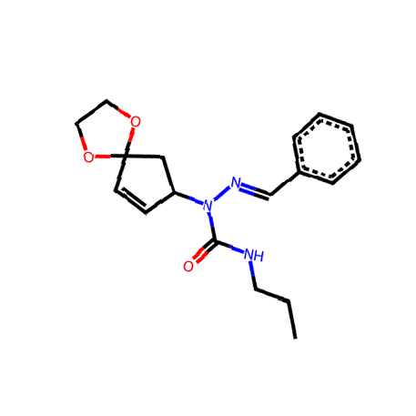 CCCNC(=O)N(N=Cc1ccccc1)C1C=CC2(C1)OCCO2